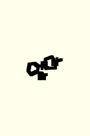 CN1CCN(c2ccccc2Br)CC1